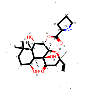 C=C[C@@]1(C)CC(=O)[C@]2(O)[C@@]3(C)[C@@H](O)CCC(C)(C)[C@@H]3[C@H](O)[C@H](OC(=O)C3CCCN3)[C@@]2(C)O1